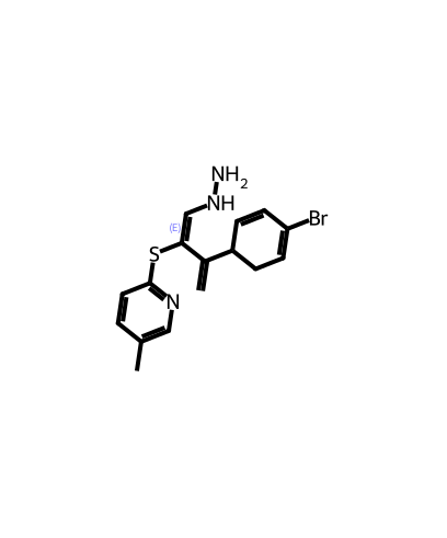 C=C(/C(=C\NN)Sc1ccc(C)cn1)C1C=CC(Br)=CC1